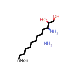 CCCCCCCCCCCCCCCCCCC(N)C(O)CO.N